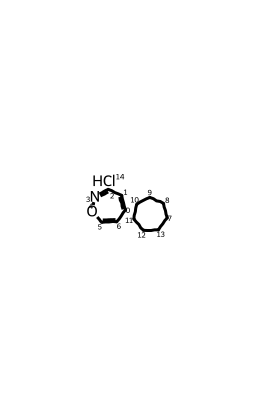 C1=CC=NOC=C1.C1CCCCCC1.Cl